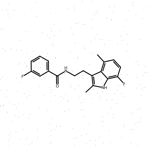 Cc1[nH]c2c(F)ccc(C)c2c1CCNC(=O)c1cccc(F)c1